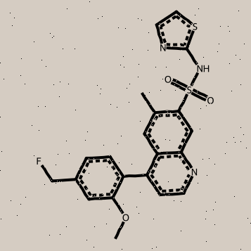 COc1cc(CF)ccc1-c1ccnc2cc(S(=O)(=O)Nc3nccs3)c(C)cc12